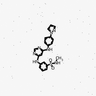 CNS(=O)(=O)c1cccc(Nc2cc(Nc3ccc(-n4cccn4)cc3)ncn2)c1